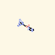 CN(C)c1nc(N)c2ncn(CCCCOC(=O)NCc3ccc4nccn4c3)c2n1